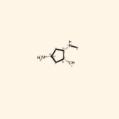 CN[C@H]1C[C@@H](N)C[C@H]1O